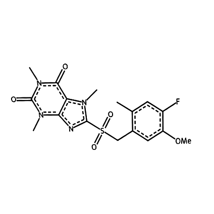 COc1cc(CS(=O)(=O)c2nc3c(c(=O)n(C)c(=O)n3C)n2C)c(C)cc1F